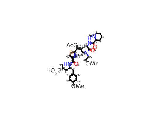 CCC(C)C(NC(=O)C1CCCCN1C)C(=O)N(CCOC)[C@H](C[C@@H](OC(C)=O)c1nc(C(=O)N[C@@H](Cc2ccc(OC)cc2)C[C@H](C)C(=O)O)cs1)C(C)C